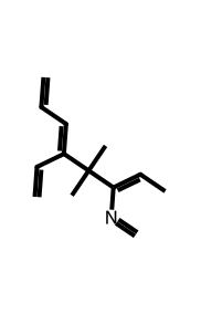 C=C/C=C(\C=C)C(C)(C)/C(=C/C)N=C